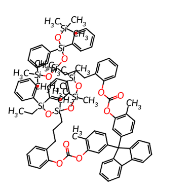 CC[Si](O[Si](C)(CCCc1ccccc1OC(=O)Oc1cc(C2(c3ccc(C)c(OC(=O)Oc4ccccc4CCC[Si](C)(O[Si](C)(C)C)O[Si](O[Si](C)(C)C)(c4ccccc4)c4ccccc4)c3)c3ccccc3-c3ccccc32)ccc1C)O[Si](C)(C)O[Si](C)(C)C)(c1ccccc1)c1ccccc1